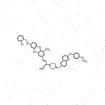 COc1ccc(Oc2ccc3cc(CN4CCN(C(=O)C=Cc5cc(C)c(Oc6ccc(OCc7ccccc7Cl)cn6)c(Cl)c5)CC4)ccc3n2)cc1.Cl